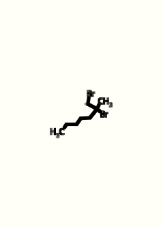 CCCCCC(C)(Br)[CH]Br